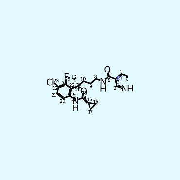 C/C=C(\C=N)C(=O)NCCC[C@@]1(C)OC(=C2CC2)Nc2ccc(Cl)c(F)c21